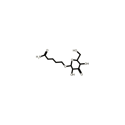 NC(=O)CCCCOC1OC(CO)C(O)C(=O)C1O